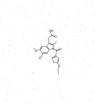 CCOc1cc(C(=O)n2c(C)c(CC(=O)O)c3cc(OC)c(Cl)cc32)cs1